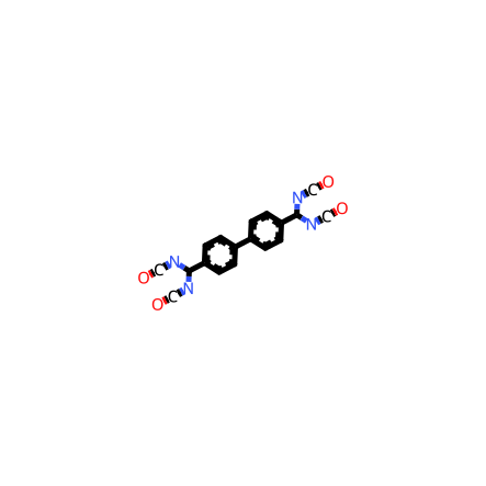 O=C=NC(N=C=O)c1ccc(-c2ccc(C(N=C=O)N=C=O)cc2)cc1